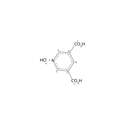 Cl.O=C(O)c1cncc(C(=O)O)c1